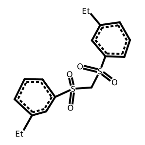 CCc1cccc(S(=O)(=O)CS(=O)(=O)c2cccc(CC)c2)c1